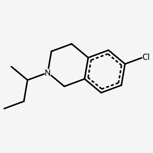 CCC(C)N1CCc2cc(Cl)ccc2C1